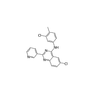 Cc1ccc(Nc2nc(-c3cccnc3)nc3ccc(Cl)cc23)cc1Cl